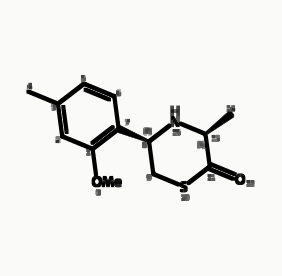 COc1cc(C)ccc1[C@@H]1CSC(=O)[C@H](C)N1